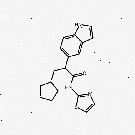 O=C(Nc1nccs1)C(CC1CCCC1)c1ccc2[nH]ccc2c1